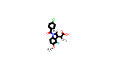 COc1ccc2c(c1F)c(C(C)C(=O)O)c(C)n2C(=O)c1ccc(Cl)cc1